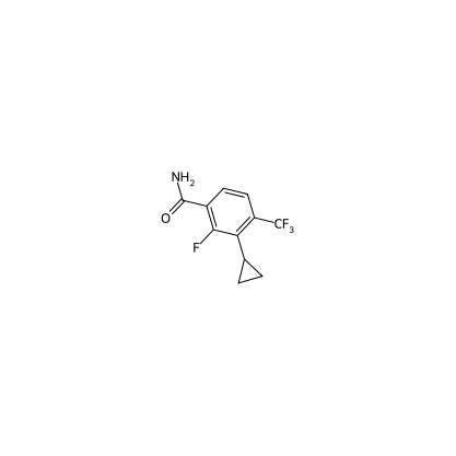 NC(=O)c1ccc(C(F)(F)F)c(C2CC2)c1F